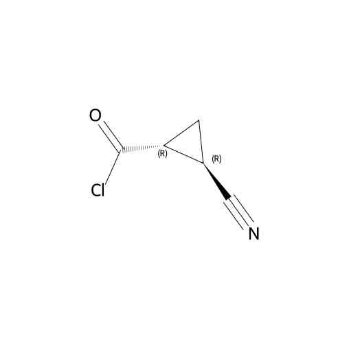 N#C[C@@H]1C[C@H]1C(=O)Cl